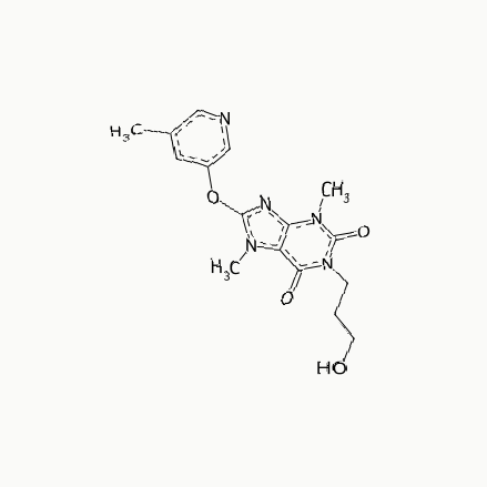 Cc1cncc(Oc2nc3c(c(=O)n(CCCO)c(=O)n3C)n2C)c1